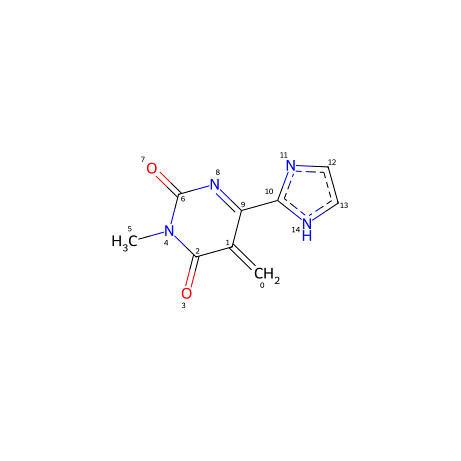 C=C1C(=O)N(C)C(=O)N=C1c1ncc[nH]1